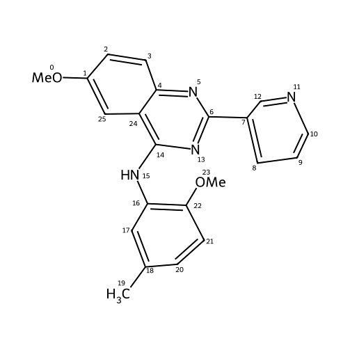 COc1ccc2nc(-c3cccnc3)nc(Nc3cc(C)ccc3OC)c2c1